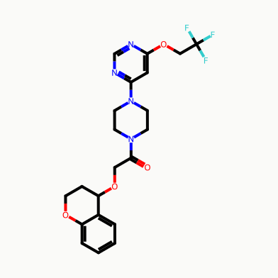 O=C(COC1CCOc2ccccc21)N1CCN(c2cc(OCC(F)(F)F)ncn2)CC1